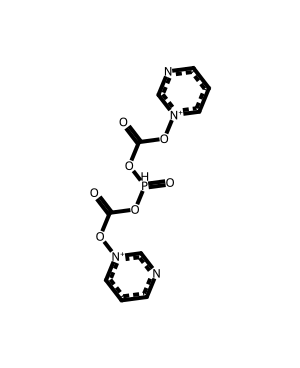 O=C(O[n+]1cccnc1)O[PH](=O)OC(=O)O[n+]1cccnc1